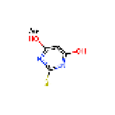 Oc1cc(O)nc(S)n1.[Au]